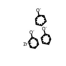 [O-]c1ccccc1.[O-]c1ccccc1.[O-]c1ccccc1.[Zr+3]